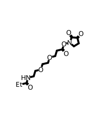 CCC(=O)NCCOCCOCCC(=O)ON1CCC(=O)C1=O